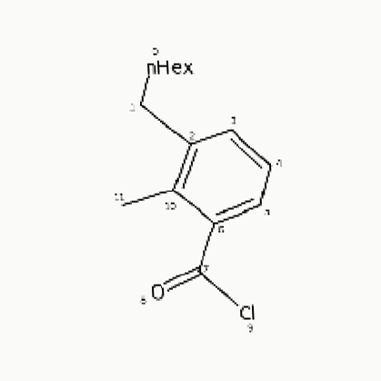 CCCCCCCc1cccc(C(=O)Cl)c1C